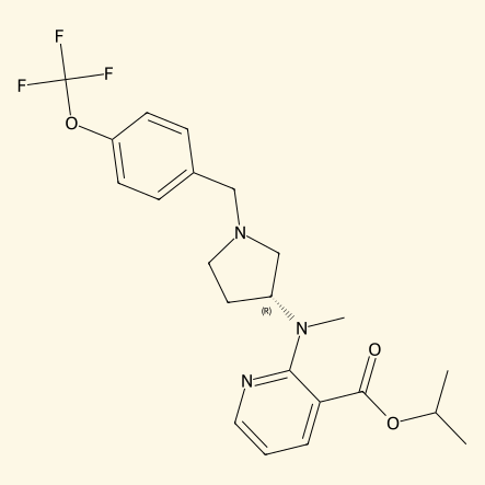 CC(C)OC(=O)c1cccnc1N(C)[C@@H]1CCN(Cc2ccc(OC(F)(F)F)cc2)C1